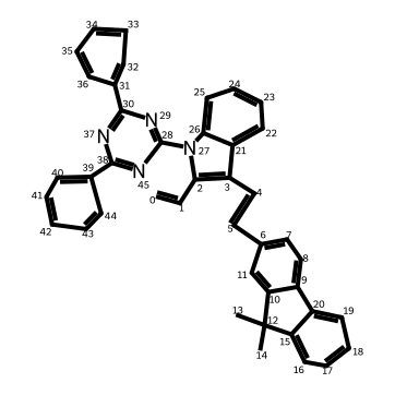 C=Cc1c(/C=C/c2ccc3c(c2)C(C)(C)c2ccccc2-3)c2ccccc2n1-c1nc(-c2ccccc2)nc(-c2ccccc2)n1